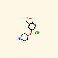 Cl.c1cc2c(cc1OC1CCNCC1)COC2